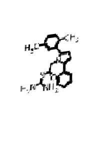 Cc1ccc(C)c(-c2ccc(-c3ccccc3)n2CC(=O)N=C(N)N)c1